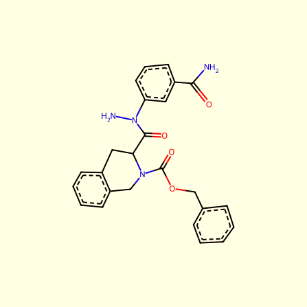 NC(=O)c1cccc(N(N)C(=O)C2Cc3ccccc3CN2C(=O)OCc2ccccc2)c1